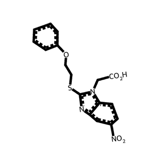 O=C(O)Cn1c(SCCOc2ccccc2)nc2cc([N+](=O)[O-])ccc21